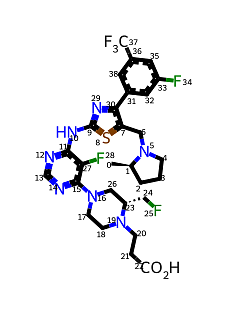 C[C@@H]1CCCN1Cc1sc(Nc2ncnc(N3CCN(CCC(=O)O)[C@@H](CF)C3)c2F)nc1-c1cc(F)cc(C(F)(F)F)c1